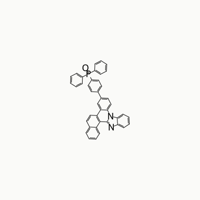 O=P(c1ccccc1)(c1ccccc1)c1ccc(-c2ccc3c(c2)c2ccc4ccccc4c2c2nc4ccccc4n32)cc1